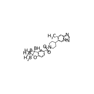 BC1(B)Oc2ccc(S(=O)(=O)N3CCC(c4cn5ncnc5cc4C)CC3)cc2C1(B)B